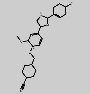 COC1C=C(C2CNC(C3=CCC(Cl)CC3)N2)C=C[C@H]1OCC1CCC(C#N)CC1